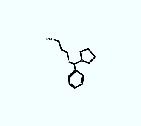 CC(=O)NCCCOC(c1ccccc1)N1CCCC1